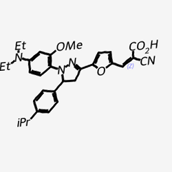 CCN(CC)c1ccc(N2N=C(c3ccc(/C=C(/C#N)C(=O)O)o3)CC2c2ccc(C(C)C)cc2)c(OC)c1